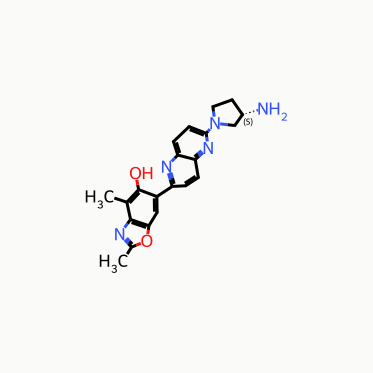 Cc1nc2c(C)c(O)c(-c3ccc4nc(N5CC[C@H](N)C5)ccc4n3)cc2o1